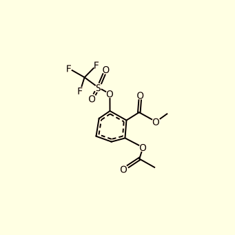 COC(=O)c1c(OC(C)=O)cccc1OS(=O)(=O)C(F)(F)F